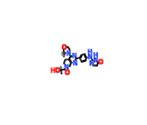 C[C@H]1COCCN1c1nc(-c2ccc(Nc3nccc(=O)[nH]3)cc2)nc2c1CCN(C(=O)C(C)(C)O)C2